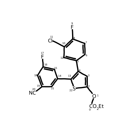 CCOC(=O)Oc1cc(-c2ccc(F)c(Cl)c2)c(-c2cc(F)cc(C#N)c2)s1